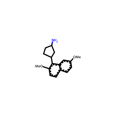 COc1ccc2ccc(OC)c(C3CCC(N)C3)c2c1